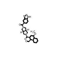 COc1cc(C(=O)N2C[C@@H]3CN(C(=O)c4ccc5[nH]nnc5c4)C[C@H]3C2)c(C=O)c2ccccc12